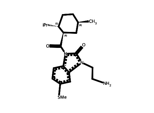 CSc1ccc2c(c1)n(CCN)c(=O)n2C(=O)[C@@H]1C[C@H](C)CC[C@H]1C(C)C